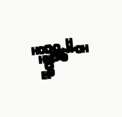 CCOc1ccc2[nH]c3c(c2c1)CC1(C)C(=O)N(CCNCCO)C(=O)N1C3c1cccc(O)c1